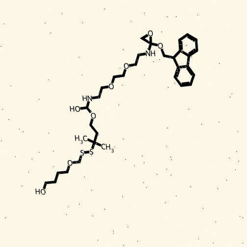 CC(C)(CCOC(O)NCCOCCOCCNC1(OCC2c3ccccc3-c3ccccc32)CO1)SSCOCCCCO